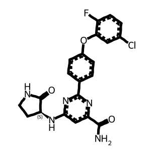 NC(=O)c1cc(N[C@H]2CCNC2=O)nc(-c2ccc(Oc3cc(Cl)ccc3F)cc2)n1